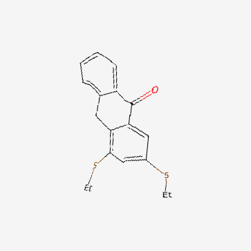 CCSc1cc(SCC)c2c(c1)C(=O)c1ccccc1C2